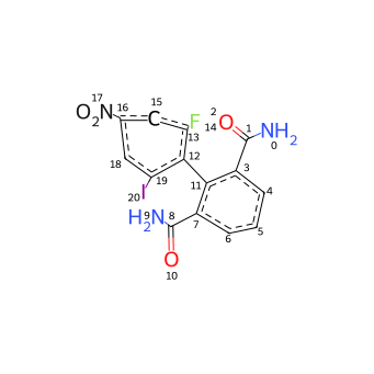 NC(=O)c1cccc(C(N)=O)c1-c1c(F)cc([N+](=O)[O-])cc1I